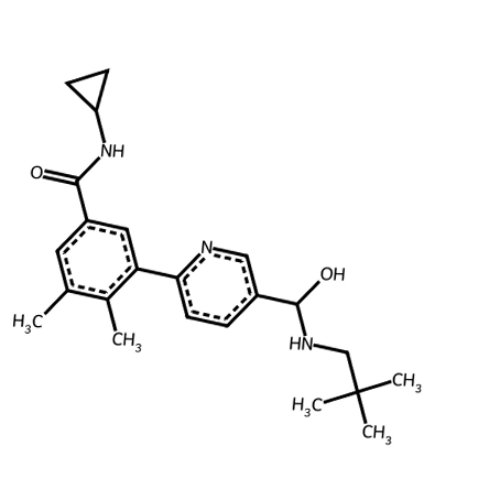 Cc1cc(C(=O)NC2CC2)cc(-c2ccc(C(O)NCC(C)(C)C)cn2)c1C